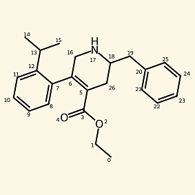 CCOC(=O)C1=C(c2ccccc2C(C)C)CNC(Cc2ccccc2)C1